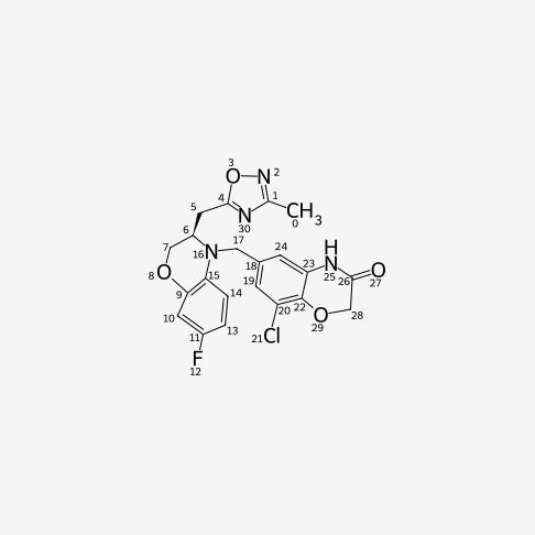 Cc1noc(C[C@@H]2COc3cc(F)ccc3N2Cc2cc(Cl)c3c(c2)NC(=O)CO3)n1